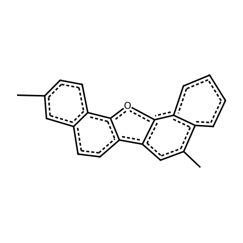 Cc1ccc2c(ccc3c4cc(C)c5ccccc5c4oc23)c1